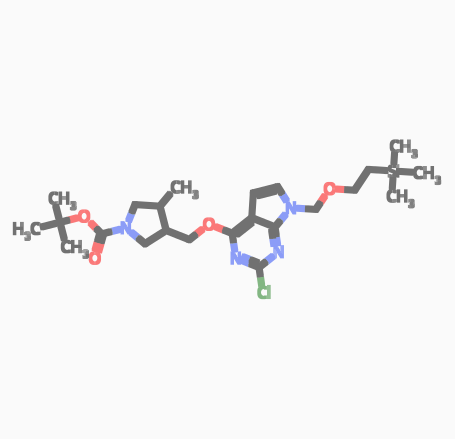 CC1CN(C(=O)OC(C)(C)C)CC1COc1nc(Cl)nc2c1ccn2COCC[Si](C)(C)C